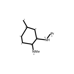 CNC1CCC(C)CC1NC(C)C